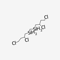 ClCCC(Cl)C[SiH2]C[SiH2]CC(Cl)CCCl